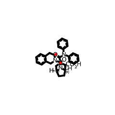 O=C(O)[C@@H]1[C@H]2CC[C@@H](CN1C(=O)N(c1ccccc1)c1ccccc1)N2C(=O)N1CCc2ccccc2C1